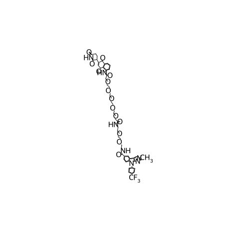 Cn1cc2c3cc(C(=O)NCCOCCOCCNC(=O)COCCOCCOCCOCCOCC(=O)Nc4cccc5c4C(=O)C=C(C4CCC(=O)NC4=O)C5=O)ccc3n(-c3ccc(C(F)(F)F)cc3)c2n1